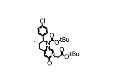 C[C@@H](Cc1cc(=O)n(CC(=O)OC(C)(C)C)cn1)[C@H](NC(=O)OC(C)(C)C)c1ccc(Cl)cc1